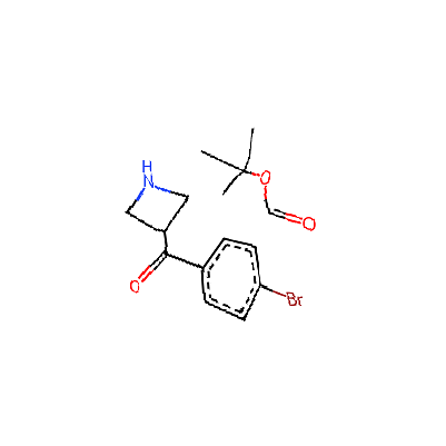 CC(C)(C)OC=O.O=C(c1ccc(Br)cc1)C1CNC1